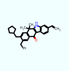 C=Cc1ccc2c3c([nH]c2c1)C(C)(C)c1cc(CC2CCCC2)c(CC(C)C)cc1C3=O